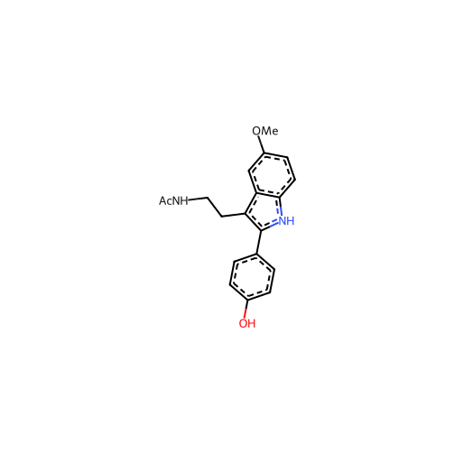 COc1ccc2[nH]c(-c3ccc(O)cc3)c(CCNC(C)=O)c2c1